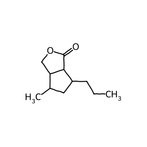 CCCC1CC(C)C2COC(=O)C12